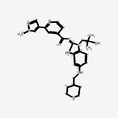 Cn1cc(-c2cc(C(=O)/N=c3\[nH]c4cc(NCC5CCOCC5)ccc4n3CC(C)(C)O)ccn2)cn1